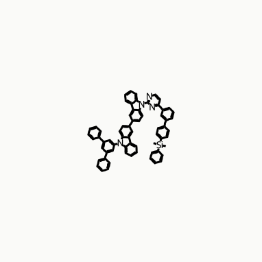 C[Si](C)(c1ccccc1)c1ccc(-c2cccc(-c3ccnc(-n4c5ccccc5c5cc(-c6ccc7c(c6)c6ccccc6n7-c6cc(-c7ccccc7)cc(-c7ccccc7)c6)ccc54)n3)c2)cc1